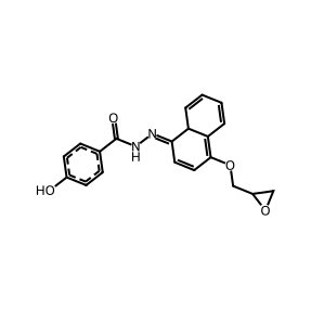 O=C(NN=C1C=CC(OCC2CO2)=C2C=CC=CC12)c1ccc(O)cc1